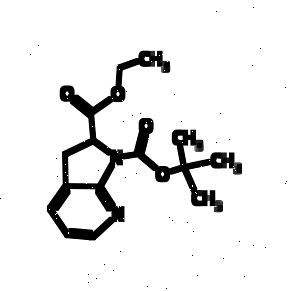 CCOC(=O)C1Cc2cccnc2N1C(=O)OC(C)(C)C